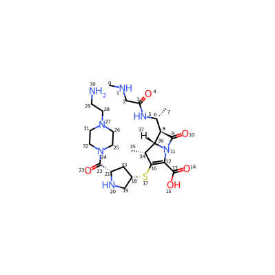 CNCC(=O)N[C@H](C)[C@H]1C(=O)N2C(C(=O)O)=C(S[C@@H]3CN[C@H](C(=O)N4CCN(CCN)CC4)C3)[C@H](C)[C@H]12